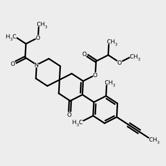 CC#Cc1cc(C)c(C2=C(OC(=O)C(C)OC)CC3(CCN(C(=O)C(C)OC)CC3)CC2=O)c(C)c1